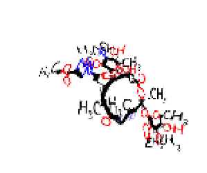 CCOC(=O)c1cn(CC[C@H]2C[C@@H](C)C(=O)/C=C/C(C)=C/[C@H](COC3=C(OC)[C@@H](OC)[C@H](O)C(C)O3)[C@@H](CC)OC(=O)C[C@@H](O)[C@H](C)[C@H]2O[C@@H]2O[C@H](C)[C@@H](O)C(N(C)C)C2O)nn1